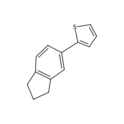 c1csc(-c2ccc3c(c2)CCC3)c1